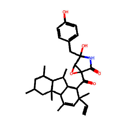 C=CC1(C)C=C(C)C2C(C(C)C3C(C)CC(C)CC23C)C1C(=O)C12OC1C(O)(Cc1ccc(O)cc1)NC2=O